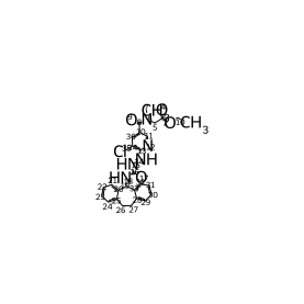 CCOC(=O)CN(C)C(=O)c1cnc(NNC(=O)NC2c3ccccc3CCc3ccccc32)c(Cl)c1